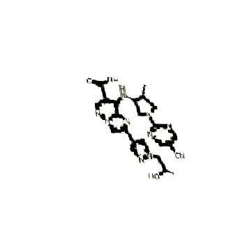 C[C@@H](O)Cn1cc(-c2cn3ncc(C(N)=O)c(N[C@@H]4CN(c5ncc(C#N)cn5)C[C@@H]4C)c3n2)cn1